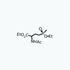 CCOC(=O)C(CCP(C)(=O)OCC)NC(C)=O